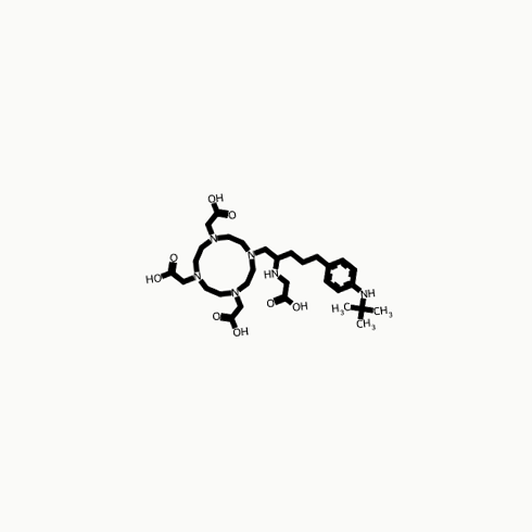 CC(C)(C)Nc1ccc(CCCC(CN2CCN(CC(=O)O)CCN(CC(=O)O)CCN(CC(=O)O)CC2)NCC(=O)O)cc1